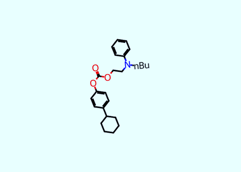 CCCCN(CCOC(=O)Oc1ccc(C2CCCCC2)cc1)c1ccccc1